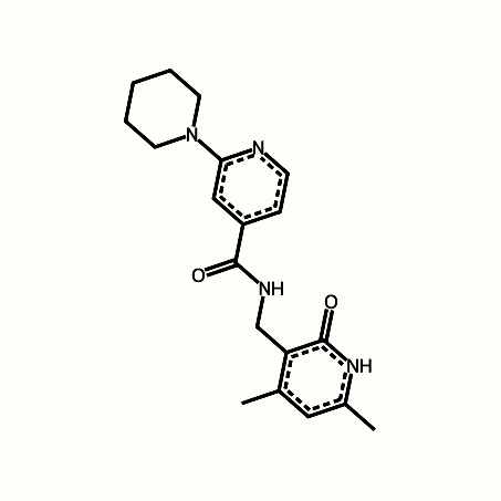 Cc1cc(C)c(CNC(=O)c2ccnc(N3CCCCC3)c2)c(=O)[nH]1